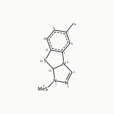 CSN1N=CN2c3cc(C)ccc3SC12